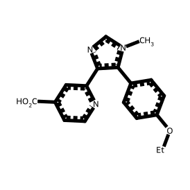 CCOc1ccc(-c2c(-c3cc(C(=O)O)ccn3)ncn2C)cc1